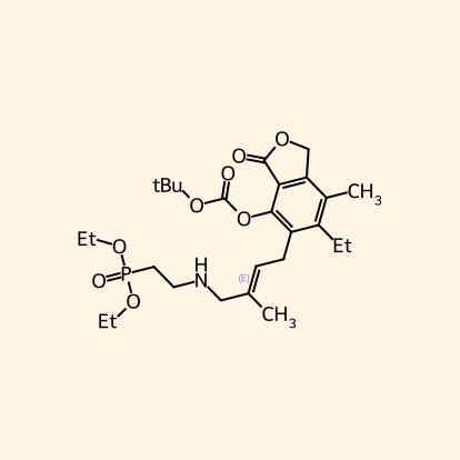 CCOP(=O)(CCNC/C(C)=C/Cc1c(CC)c(C)c2c(c1OC(=O)OC(C)(C)C)C(=O)OC2)OCC